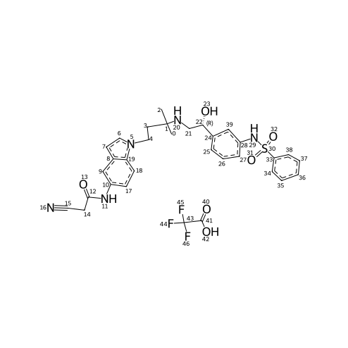 CC(C)(CCn1ccc2cc(NC(=O)CC#N)ccc21)NC[C@H](O)c1cccc(NS(=O)(=O)c2ccccc2)c1.O=C(O)C(F)(F)F